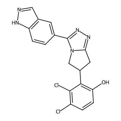 Oc1ccc(Cl)c(Cl)c1C1Cc2nnc(-c3ccc4[nH]ncc4c3)n2C1